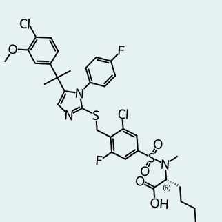 CCCC[C@H](C(=O)O)N(C)S(=O)(=O)c1cc(F)c(CSc2ncc(C(C)(C)c3ccc(Cl)c(OC)c3)n2-c2ccc(F)cc2)c(Cl)c1